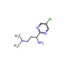 CN(C)CCC(N)c1ncc(Br)cn1